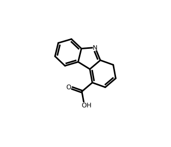 O=C(O)C1=C2C(=Nc3ccccc32)CC=C1